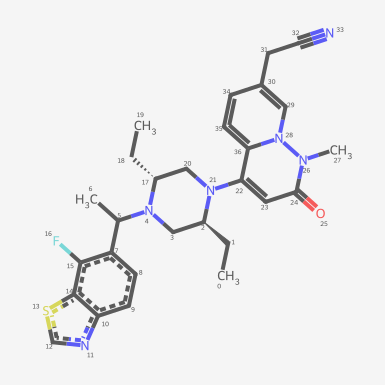 CC[C@H]1CN(C(C)c2ccc3ncsc3c2F)[C@H](CC)CN1C1=CC(=O)N(C)N2C=C(CC#N)C=C=C12